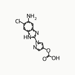 Nc1cc2nc(-n3cc(OC(=O)O)cn3)[nH]c2cc1Cl